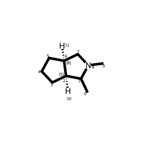 CC1[C@H]2CCC[C@H]2CN1C